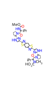 COC(=O)N[C@@H](C(=O)N1CCC[C@H]1c1nc(-c2nc3cc4sc(-c5c[nH]c([C@@H]6CCCN6C(=O)[C@@H](C(C)C)N(C)C(=O)O)n5)nc4cc3s2)c[nH]1)C(C)C